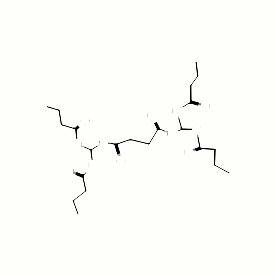 CCCC(=O)OC(OC(=O)CCC)OC(=O)CCC(=O)OC(OC(=O)CCC)OC(=O)CCC